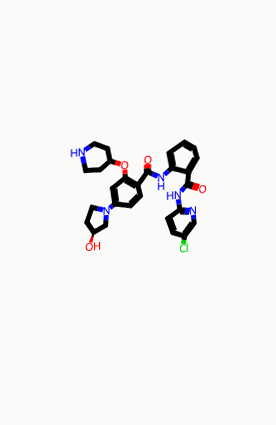 O=C(Nc1ccc(Cl)cn1)c1ccccc1NC(=O)c1ccc(N2CC[C@H](O)C2)cc1OC1CCNCC1